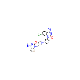 CN(C)c1nc(=O)n(CC2CCN(c3cccc(-n4c(=O)nc(N(C)C)c5ccc(Cl)cc54)c3)C2)c2sccc12